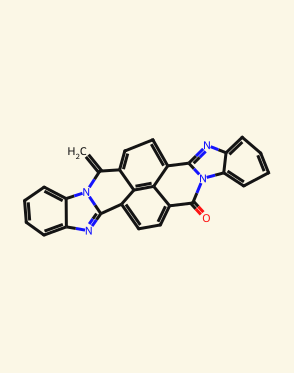 C=c1c2ccc3c4c(ccc(c24)c2nc4ccccc4n12)c(=O)n1c2ccccc2nc31